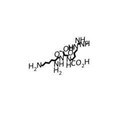 C[C@@H](O)[C@H](NC(=O)[C@@H](N)CCCCN)C(=O)N[C@@H](CCCNC(=N)N)C(=O)O